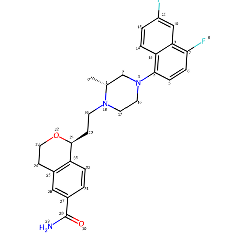 C[C@@H]1CN(c2ccc(F)c3cc(F)ccc23)CCN1CC[C@@H]1OCCc2cc(C(N)=O)ccc21